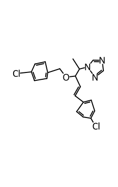 CC(C(C=Cc1ccc(Cl)cc1)OCc1ccc(Cl)cc1)n1cncn1